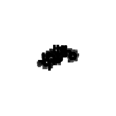 O=C(N[C@@H]1C(=O)Nc2c(F)cc(F)cc2[C@@H]2C[C@H]12)c1nnc(Cc2ccccc2)o1